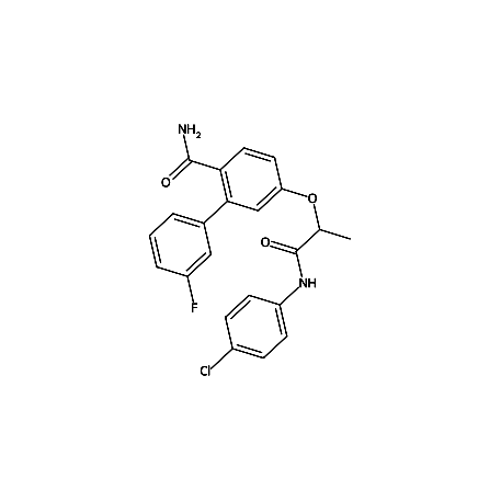 CC(Oc1ccc(C(N)=O)c(-c2cccc(F)c2)c1)C(=O)Nc1ccc(Cl)cc1